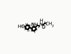 CCC(=O)NCCc1cccc(-c2ccc(O)cc2)c1N